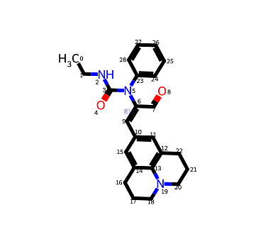 CCNC(=O)N(/C(C=O)=C/c1cc2c3c(c1)CCCN3CCC2)c1ccccc1